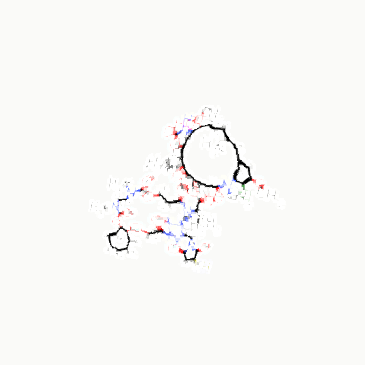 COc1cc2cc(c1Cl)N(C)C(=O)C[C@H](OC(=O)[C@H](C)N(C)C(=O)CCOC(=O)N(C)CCN(C)C(=O)OC1/C=C/CCCCC1OCC(=O)NCCN1C(=O)CC(S)C1=O)[C@]1(C)O[C@H]1[C@H](C)[C@@H]1C[C@@](O)(NC(=O)O1)[C@H](OC)/C=C/C=C(\C)C2